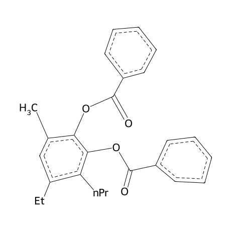 CCCc1c(CC)cc(C)c(OC(=O)c2ccccc2)c1OC(=O)c1ccccc1